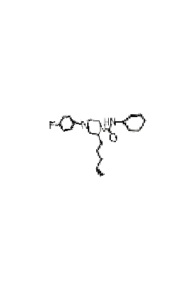 C=CCCCC1CN(c2ccc(F)cc2)CCN1C(=O)NC1CCCCC1